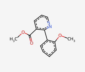 COC(=O)c1cccnc1-c1ccccc1OC